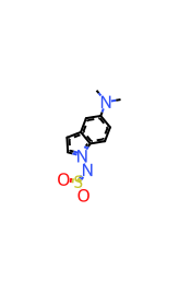 CN(C)c1ccc2c(ccn2N=S(=O)=O)c1